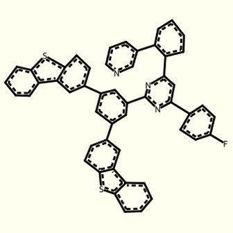 Fc1ccc(-c2cc(-c3ccccc3-c3cccnc3)nc(-c3cc(-c4ccc5sc6ccccc6c5c4)cc(-c4ccc5sc6ccccc6c5c4)c3)n2)cc1